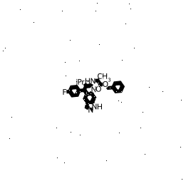 CC(C)c1c(N[C@H](C)C(=O)OCc2ccccc2)nc2cc3[nH]ncc3cc2c1-c1ccc(F)cc1